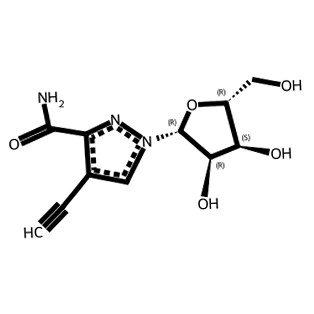 C#Cc1cn([C@@H]2O[C@H](CO)[C@@H](O)[C@H]2O)nc1C(N)=O